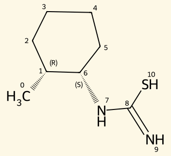 C[C@@H]1CCCC[C@@H]1NC(=N)S